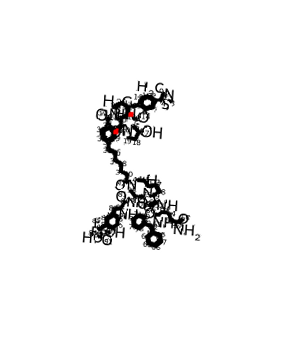 Cc1ncsc1-c1ccc([C@H](C)NC(=O)[C@@H]2[C@@H](O)CCN2C(=O)C2CCCCN2C(=O)c2ccc(CCCCCCC(=O)N3CC[C@H]4CC[C@@H](C(=O)NC(CCC(N)=O)C(=O)NC(c5ccccc5)c5ccccc5)N4C(=O)[C@@H](NC(=O)c4cc5cc(C(F)(F)P(=O)(O)O)ccc5[nH]4)C3)cc2)cc1